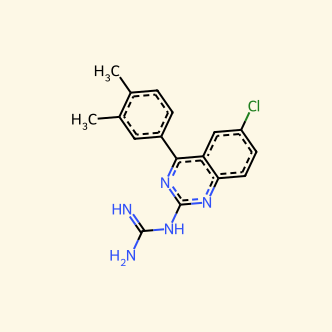 Cc1ccc(-c2nc(NC(=N)N)nc3ccc(Cl)cc23)cc1C